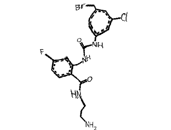 NCCNC(=O)c1ccc(F)cc1NC(=O)Nc1cc(Cl)cc(Br)c1